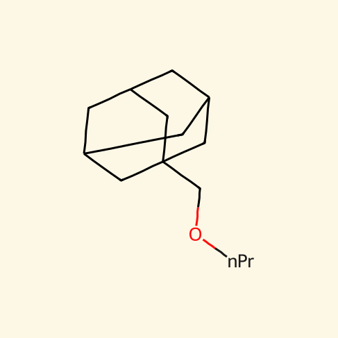 CCCOCC12CC3CC(CC(C3)C1)C2